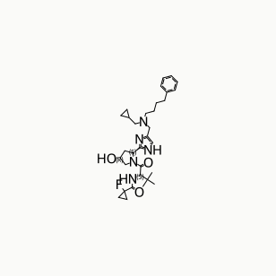 CC(C)(C)[C@H](NC(=O)C1(F)CC1)C(=O)N1C[C@H](O)C[C@H]1c1nc(CN(CCCCc2ccccc2)CC2CC2)c[nH]1